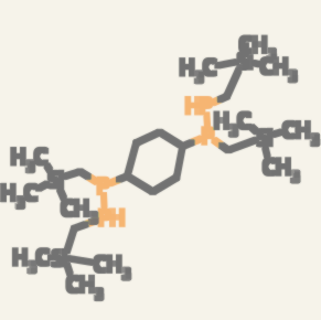 C[Si](C)(C)CPP(C[Si](C)(C)C)C1CCC(P(C[Si](C)(C)C)PC[Si](C)(C)C)CC1